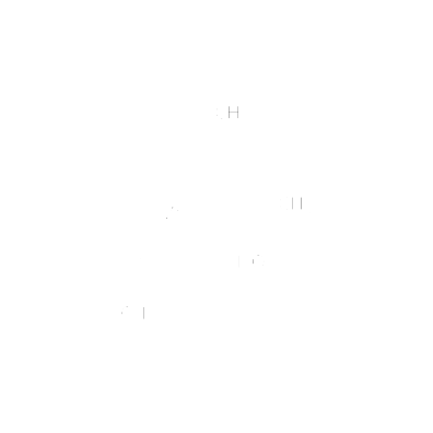 CCCCC[CH2][Zr+]([CH2]CCCCC)[CH2]CCCCC.[OH-]